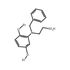 CCOc1ccc(OCC)c(N(CCS(=O)(=O)O)Cc2ccccc2)c1